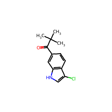 CC(C)(C)C(=O)c1ccc2c(Cl)c[nH]c2c1